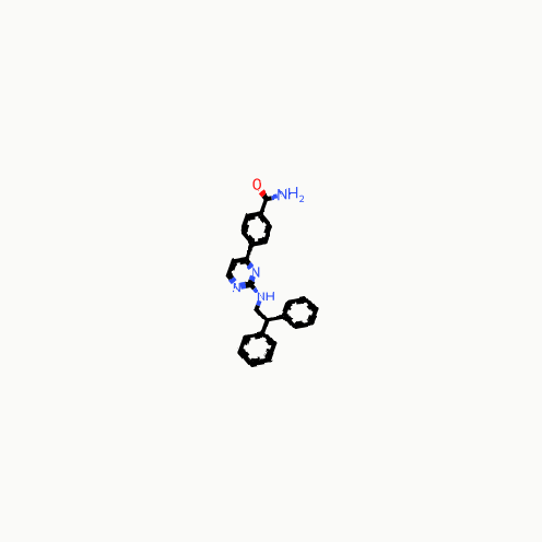 NC(=O)c1ccc(-c2ccnc(NCC(c3ccccc3)c3ccccc3)n2)cc1